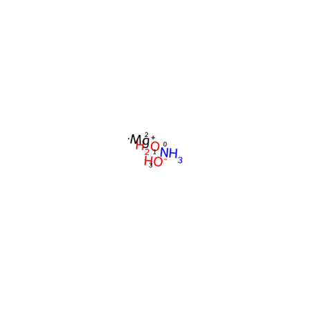 N.O.[Mg+].[OH-]